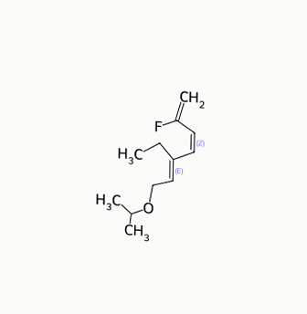 C=C(F)/C=C\C(=C\COC(C)C)CC